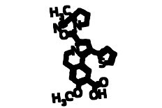 COc1cc2c(cc1C(=O)O)-c1c(-c3cccs3)cc(C(=O)N3CCC[C@]3(C)C#N)n1CC2